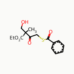 CCOC(=O)C(C)(CO)C(=O)CSC(=O)c1ccccc1